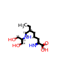 CCC(CCCC(=N)C(=O)O)CNC(CO)CO